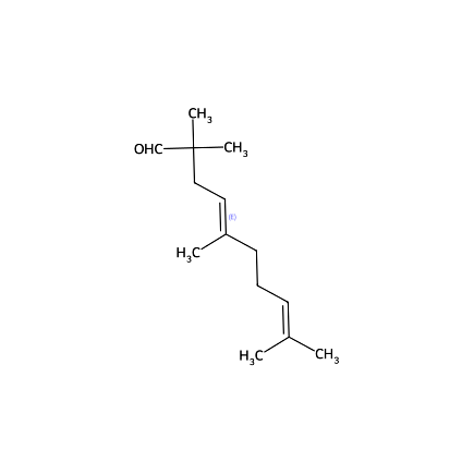 CC(C)=CCC/C(C)=C/CC(C)(C)C=O